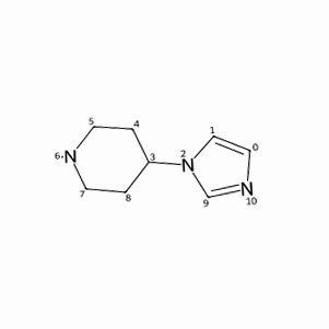 c1cn(C2CC[N]CC2)cn1